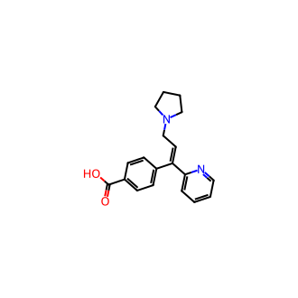 O=C(O)c1ccc(/C(=C\CN2CCCC2)c2ccccn2)cc1